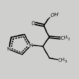 C=C(C(=O)O)C(CC)n1ccnc1